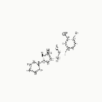 O=C(Cc1ccc(F)c(Cl)c1)Nc1cc(-c2ccncc2)n[nH]1